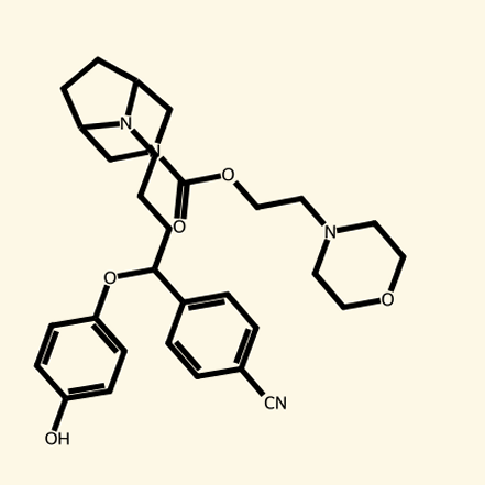 N#Cc1ccc(C(CCCN2C3CCC2CN(C(=O)OCCN2CCOCC2)C3)Oc2ccc(O)cc2)cc1